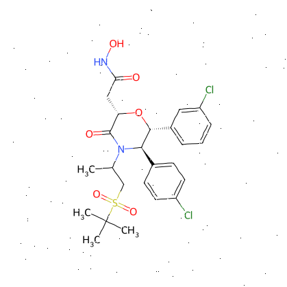 CC(CS(=O)(=O)C(C)(C)C)N1C(=O)[C@H](CC(=O)NO)O[C@H](c2cccc(Cl)c2)[C@H]1c1ccc(Cl)cc1